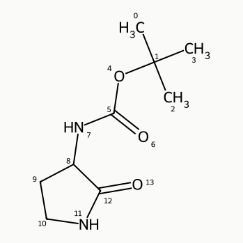 CC(C)(C)OC(=O)NC1CCNC1=O